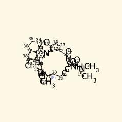 CCN(C)C(=O)N[S@]1(=O)=NC(=O)c2ccc3c(c2)N(C[C@@H]2CC[C@H]2[C@@H](OC)/C=C/CCC1)C[C@@]1(CCCc2cc(Cl)ccc21)CO3